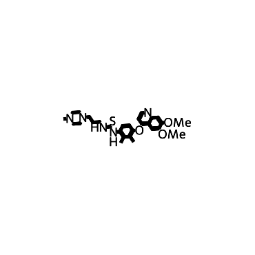 COc1cc2nccc(Oc3ccc(NC(=S)NCCCN4CCN(C)CC4)c(C)c3C)c2cc1OC